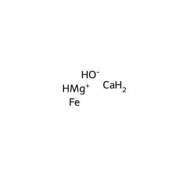 [CaH2].[Fe].[MgH+].[OH-]